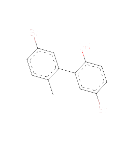 Cc1ccc(Br)cc1-c1cc(Br)ccc1O